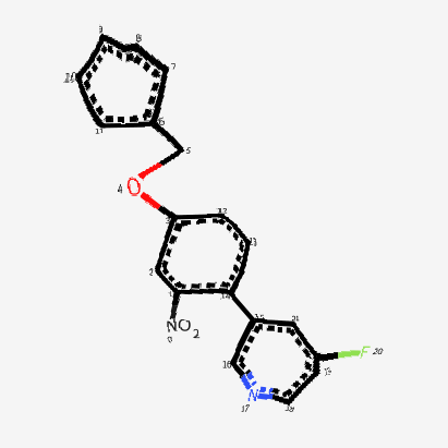 O=[N+]([O-])c1cc(OCc2ccccc2)ccc1-c1cncc(F)c1